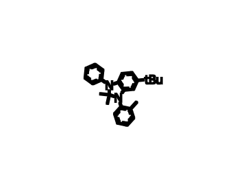 Cc1ccccc1N1c2cc(C(C)(C)C)ccc2N(c2ccccc2)C1(C)C